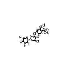 CC(C)(F)c1cc(Oc2c(Cl)cc(-n3nc(C#N)c(=O)[nH]c3=O)cc2Cl)nnc1Cl